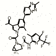 CC(=O)c1cn(CC(=O)N2C3C[C@]3(C)C[C@H]2C(=O)Nc2nc(C(F)(F)F)c(F)cc2C)c2c(C)cc(-c3ccc4nc(C)nn4c3)cc12